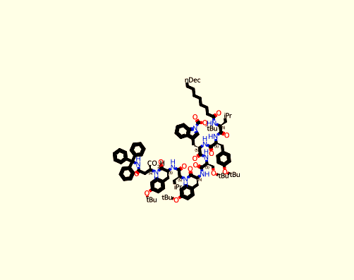 CCCCCCCCCCCCCCCCCC(=O)N[C@@H](CC(C)C)C(=O)N[C@@H](Cc1ccc(OC(C)(C)C)cc1)C(=O)N[C@@H](Cc1cn(C(=O)OC(C)(C)C)c2ccccc12)C(=O)N[C@@H](COC(C)(C)C)C(=O)N[C@@H](Cc1ccc(OC(C)(C)C)cc1)C(=O)N[C@@H](CC(C)C)C(=O)N[C@@H](Cc1ccc(OC(C)(C)C)cc1)C(=O)N[C@@H](CC(=O)NC(c1ccccc1)(c1ccccc1)c1ccccc1)C(=O)O